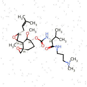 COC1[C@H](OC(=O)N[C@@H](C(=O)NCCCN(C)C)C(C)C)CC[C@]2(CO2)[C@H]1[C@@]1(C)O[C@@H]1CC=C(C)C